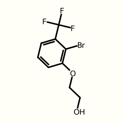 OCCOc1cccc(C(F)(F)F)c1Br